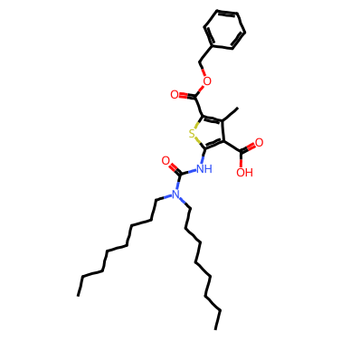 CCCCCCCCN(CCCCCCCC)C(=O)Nc1sc(C(=O)OCc2ccccc2)c(C)c1C(=O)O